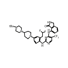 CC(C)(C)N1CCN(C2CCN(c3ccc(Nc4ncc(C(F)(F)F)c(Nc5cccc6c5C(=O)NC6)n4)c(CC(F)F)c3)CC2)CC1